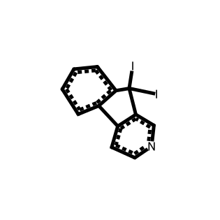 IC1(I)c2ccccc2-c2ccncc21